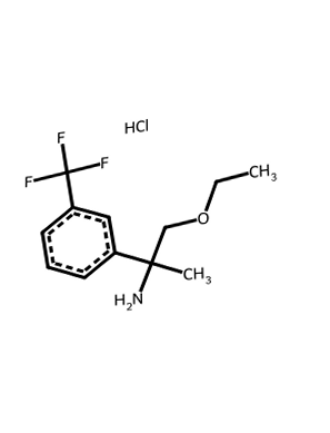 CCOCC(C)(N)c1cccc(C(F)(F)F)c1.Cl